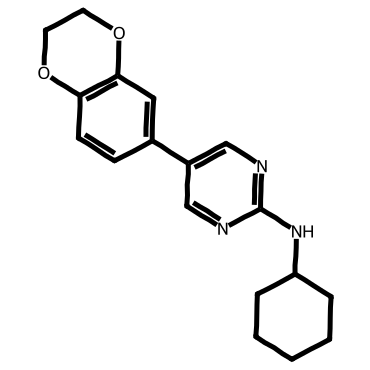 c1cc2c(cc1-c1cnc(NC3CCCCC3)nc1)OCCO2